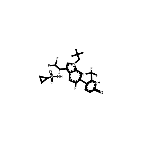 CC(C)(C)Cn1cc([C@H](NS(=O)(=O)C2CC2)C(F)F)c2cc(F)c(-c3ccc(=O)[nH]c3C(F)(F)F)cc21